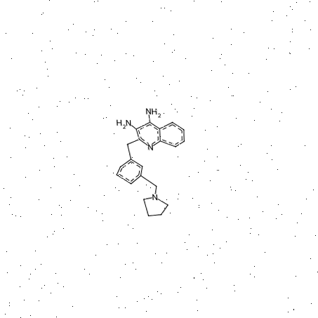 Nc1c(Cc2cccc(CN3CCCC3)c2)nc2ccccc2c1N